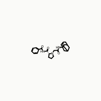 O=C(CN1CCC[C@@H]1C(=O)NC(=O)c1ccccc1)NC12CC3CC(CC(C3)C1)C2